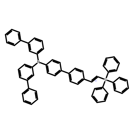 C(=C\[Si](c1ccccc1)(c1ccccc1)c1ccccc1)/c1ccc(-c2ccc(N(c3cccc(-c4ccccc4)c3)c3cccc(-c4ccccc4)c3)cc2)cc1